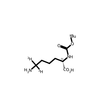 [2H]C([2H])(N)CCC[C@H](NC(=O)OC(C)(C)C)C(=O)O